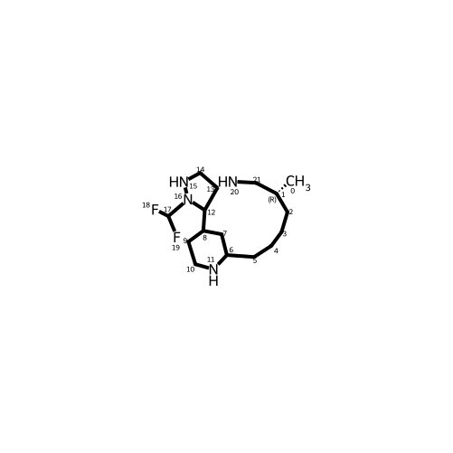 C[C@@H]1CCCCC2CC(CCN2)C2C(CNN2C(F)F)NC1